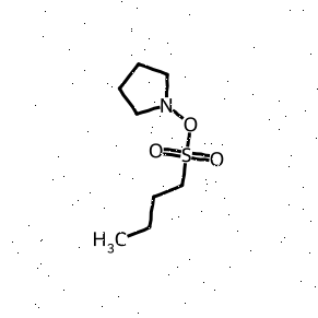 CCCCS(=O)(=O)ON1CCCC1